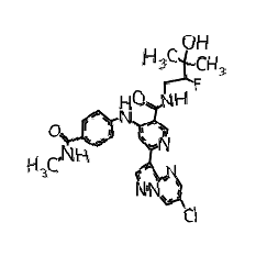 CNC(=O)c1ccc(Nc2cc(-c3cnn4cc(Cl)cnc34)ncc2C(=O)NCC(F)C(C)(C)O)cc1